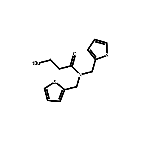 CC(C)(C)[CH]CC(=O)N(Cc1cccs1)Cc1cccs1